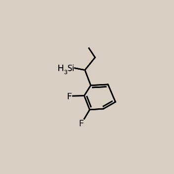 CCC([SiH3])c1cccc(F)c1F